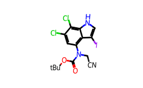 CC(C)(C)OC(=O)N(CC#N)c1cc(Cl)c(Cl)c2[nH]cc(I)c12